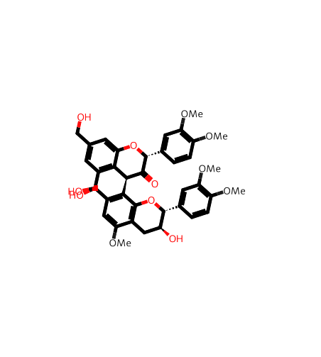 COc1ccc([C@H]2Oc3c(c(OC)cc(CO)c3[C@@H]3C(=O)[C@@H](c4ccc(OC)c(OC)c4)Oc4cc(CO)cc(CO)c43)C[C@@H]2O)cc1OC